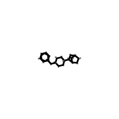 c1ccc(CN2CCN(C3CC4CCC3C4)CC2)cc1